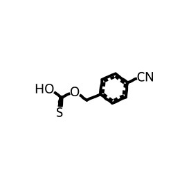 N#Cc1ccc(COC(O)=S)cc1